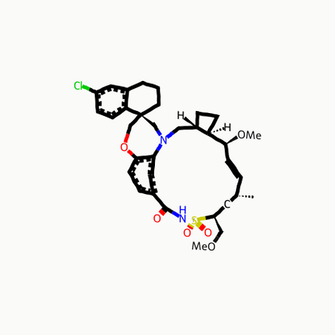 COC[C@@H]1C[C@@H](C)/C=C/[C@H](OC)[C@@H]2CC[C@H]2CN2C[C@@]3(CCCc4cc(Cl)ccc43)COc3ccc(cc32)C(=O)NS1(=O)=O